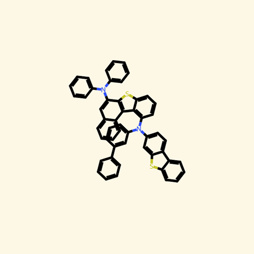 c1ccc(-c2cccc(N(c3ccc4c(c3)sc3ccccc34)c3cccc4sc5c(N(c6ccccc6)c6ccccc6)cc6ccccc6c5c34)c2)cc1